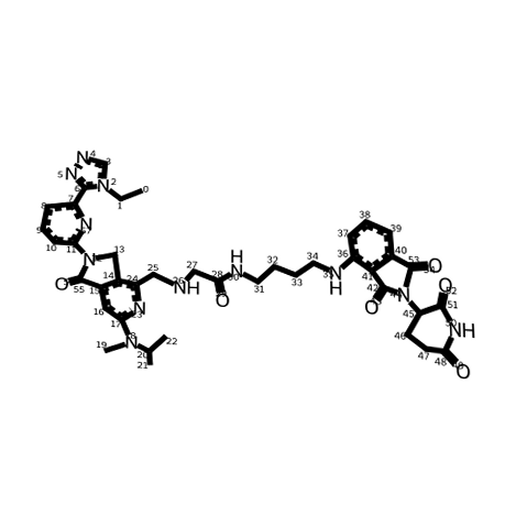 CCn1cnnc1-c1cccc(N2Cc3c(cc(N(C)C(C)C)nc3CNCC(=O)NCCCCNc3cccc4c3C(=O)N(C3CCC(=O)NC3=O)C4=O)C2=O)n1